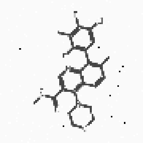 CNC(=O)c1cnc2c(-c3cc(Cl)c(F)c(C)c3F)c(C)ccc2c1N1CCOCC1